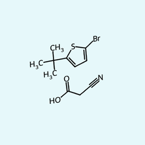 CC(C)(C)c1ccc(Br)s1.N#CCC(=O)O